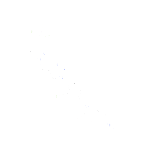 NC[C@H]1CN(c2ccc(-n3cc(Cn4ccc(C(F)(F)F)n4)nn3)c(F)c2)C(=O)O1